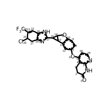 O=C1CCc2c(Oc3ccc4c(c3)C3C(O4)C3c3nc4c([nH]3)C=C(C(F)(F)F)C(Cl)C4)ccnc2N1